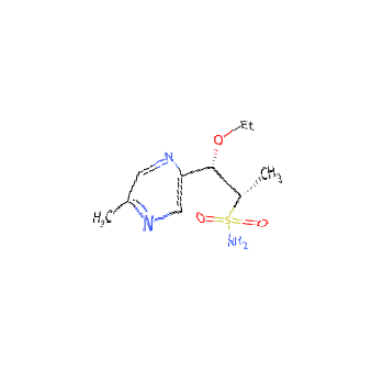 CCO[C@@H](c1cnc(C)cn1)[C@H](C)S(N)(=O)=O